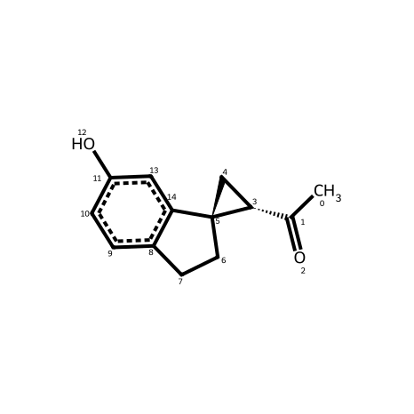 CC(=O)[C@H]1C[C@]12CCc1ccc(O)cc12